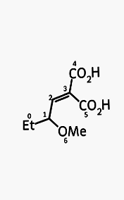 CCC(C=C(C(=O)O)C(=O)O)OC